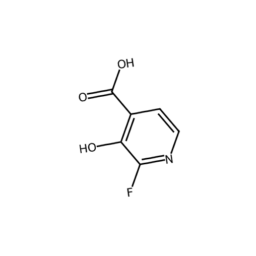 O=C(O)c1ccnc(F)c1O